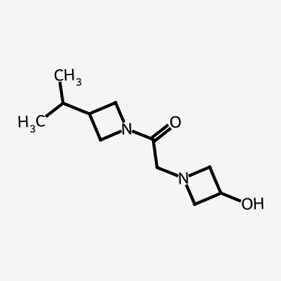 CC(C)C1CN(C(=O)CN2CC(O)C2)C1